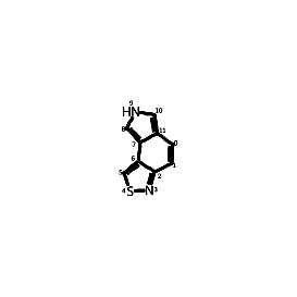 c1cc2nscc2c2c[nH]cc12